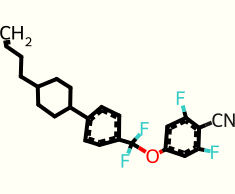 C=CCCC1CCC(c2ccc(C(F)(F)Oc3cc(F)c(C#N)c(F)c3)cc2)CC1